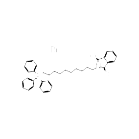 O=C1c2ccccc2C(=O)N1CCCCCCCCCC[P+](c1ccccc1)(c1ccccc1)c1ccccc1.[Br-]